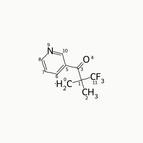 [CH2]C(C)(C(=O)c1cccnc1)C(F)(F)F